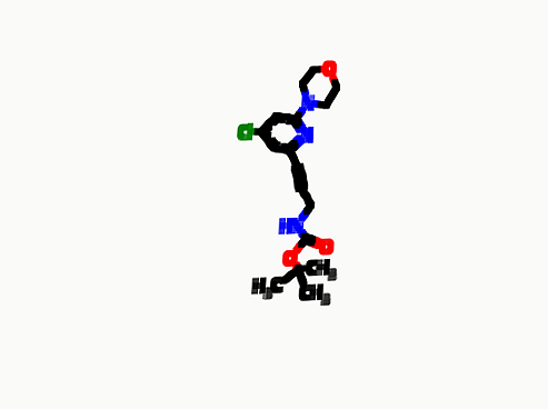 CC(C)(C)OC(=O)NCC#Cc1cc(Cl)cc(N2CCOCC2)n1